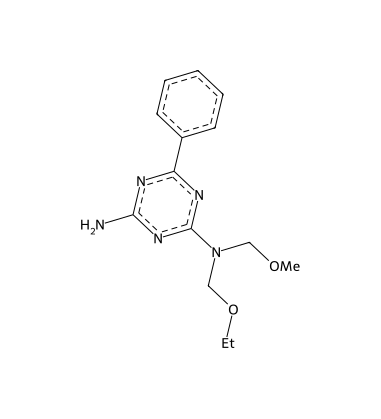 CCOCN(COC)c1nc(N)nc(-c2ccccc2)n1